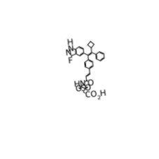 O=C(O)CS(=O)(=O)NC(=O)C=Cc1ccc(C(=C(c2ccccc2)C2CCC2)c2ccc3[nH]nc(F)c3c2)cc1